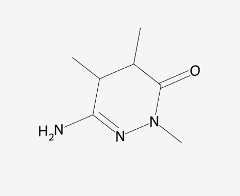 CC1C(=O)N(C)N=C(N)C1C